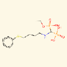 CCOP(=O)(O)C(NCCCCSc1ccccc1)P(=O)(O)O